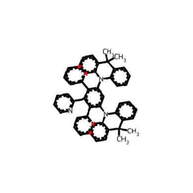 CC1(C)c2ccccc2N(c2cc(N3c4ccccc4C(C)(C)c4ccccc43)c(-c3ccccn3)c(-c3ccccn3)c2-c2ccccn2)c2ccccc21